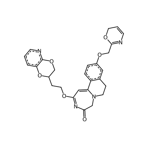 O=C1CN2CCc3cc(OCC4=NC=CCO4)ccc3C2=CC(OCCC2COc3ncccc3O2)=N1